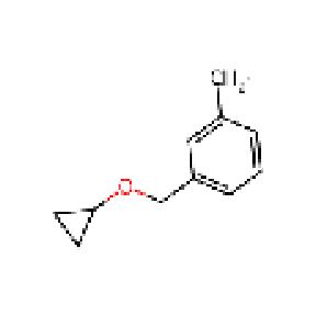 [CH2]c1cccc(COC2CC2)c1